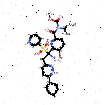 CC(C)(C)OC(=O)N(C(=O)c1ccc(Br)c(C(N)(Cc2ccc(-c3ccccc3)nn2)S(=O)(=O)c2cccnc2)n1)C(C(=O)O)C(C)(C)C